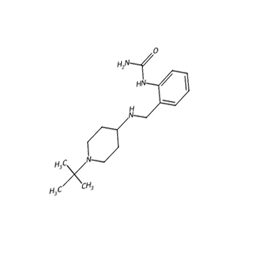 CC(C)(C)N1CCC(NCc2ccccc2NC(N)=O)CC1